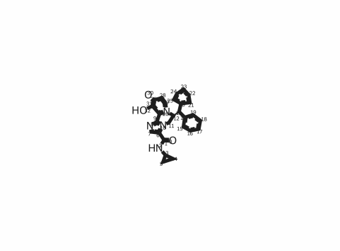 O=C(NC1CC1)c1cnc2n1C[C@H](C(c1ccccc1)c1ccccc1)n1ccc(=O)c(O)c1-2